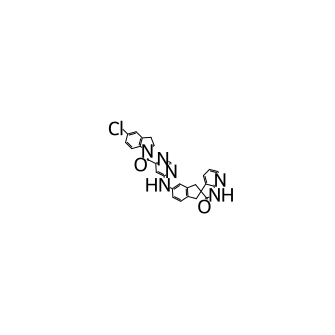 O=C(c1cc(Nc2ccc3c(c2)CC2(C3)C(=O)Nc3ncccc32)ncn1)N1CCc2cc(Cl)ccc21